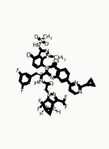 Cn1nc(NS(C)(=O)=O)c2c(Cl)ccc(-n3c([C@H](Cc4cc(F)cc(F)c4)NC(=O)Cn4nc(C(F)F)c5c4C(F)(F)[C@@H]4C[C@H]54)nc4cc(-c5ccnc(C6CC6)n5)ccc4c3=O)c21